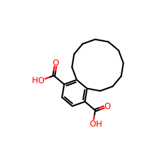 O=C(O)c1ccc(C(=O)O)c2c1CCCCCCCCCC2